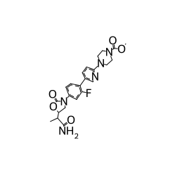 COC(=O)N1CCN(c2ccc(-c3ccc(N4CC(C(C)C(N)=O)OC4=O)cc3F)cn2)CC1